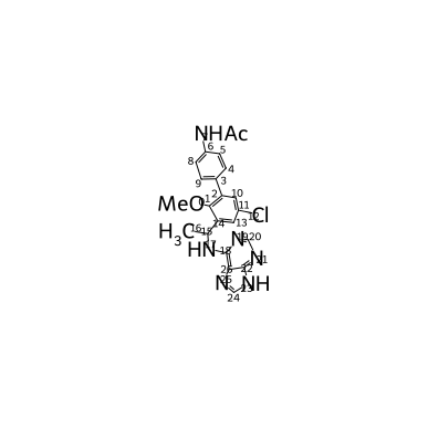 COc1c(-c2ccc(NC(C)=O)cc2)cc(Cl)cc1C(C)Nc1ncnc2[nH]cnc12